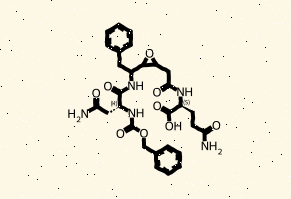 NC(=O)CC[C@H](NC(=O)CC1OC1C(Cc1ccccc1)NC(=O)[C@@H](CC(N)=O)NC(=O)OCc1ccccc1)C(=O)O